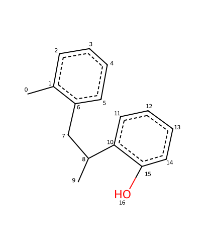 Cc1ccccc1CC(C)c1ccccc1O